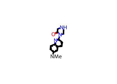 CNc1ccc2nc(N3CCNCC3=O)ccc2c1